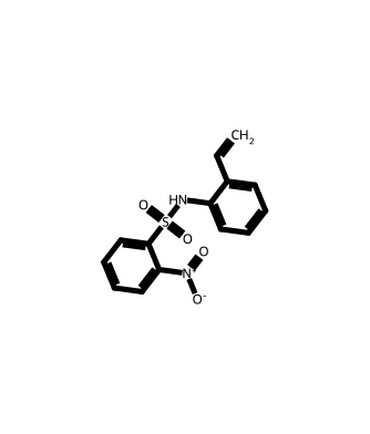 C=Cc1ccccc1NS(=O)(=O)c1ccccc1[N+](=O)[O-]